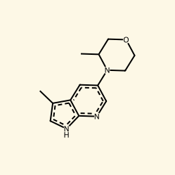 Cc1c[nH]c2ncc(N3CCOCC3C)cc12